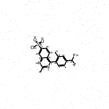 Cc1nc(-c2ccc(C(F)F)cc2C)c2ccc(S(=O)(=O)Cl)cc2n1